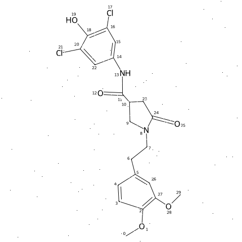 COc1ccc(CCN2CC(C(=O)Nc3cc(Cl)c(O)c(Cl)c3)CC2=O)cc1OC